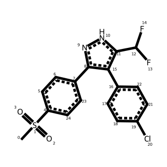 CS(=O)(=O)c1ccc(-c2n[nH]c(C(F)F)c2-c2ccc(Cl)cc2)cc1